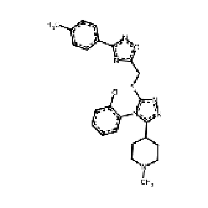 Cc1ccc(-c2noc(CSc3nnc(C4CCN(C)CC4)n3-c3ccccc3Cl)n2)cc1